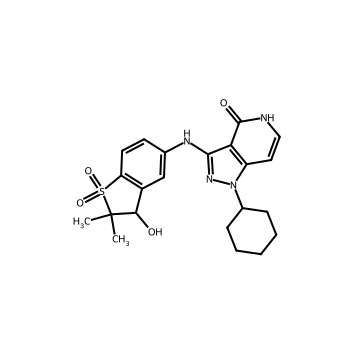 CC1(C)C(O)c2cc(Nc3nn(C4CCCCC4)c4cc[nH]c(=O)c34)ccc2S1(=O)=O